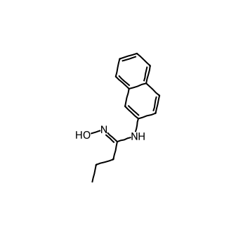 CCCC(=NO)Nc1ccc2ccccc2c1